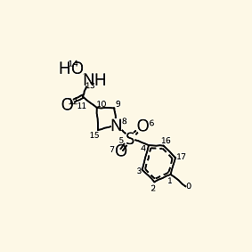 Cc1ccc(S(=O)(=O)N2CC(C(=O)NO)C2)cc1